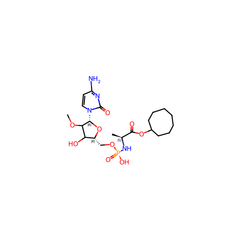 COC1C(O)[C@@H](COP(=O)(O)N[C@@H](C)C(=O)OC2CCCCCCC2)O[C@H]1n1ccc(N)nc1=O